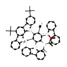 C=C(S)C(=C)N(c1c(-n2c3ccccc3c3ccccc32)c(C#N)c(-n2c3ccc(C(C)(C)C)cc3c3cc(C(C)(C)C)c4c5ccccc5sc4c32)c(C#N)c1-n1c2ccccc2c2ccccc21)C(C)C